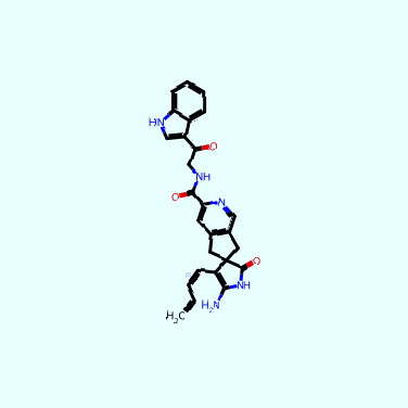 C=C/C=C\C1=C(N)NC(=O)C12Cc1cnc(C(=O)NCC(=O)c3c[nH]c4ccccc34)cc1C2